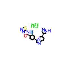 Cl.Cl.O=C(Nc1nncs1)c1ccc(-c2cnc3ccc(-c4cn[nH]c4)cn23)cc1F